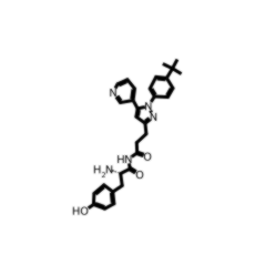 CC(C)(C)c1ccc(-n2nc(CCC(=O)NC(=O)[C@@H](N)Cc3ccc(O)cc3)cc2-c2cccnc2)cc1